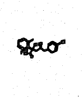 Cc1cccc(F)c1C(O)(CC(=O)Cc1ccc(Cl)cc1)C(=O)O